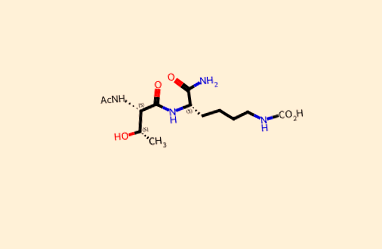 CC(=O)N[C@H](C(=O)N[C@@H](CCCCNC(=O)O)C(N)=O)[C@H](C)O